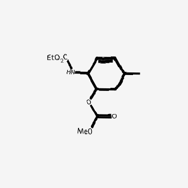 CCOC(=O)NC1C=CC(C)CC1OC(=O)OC